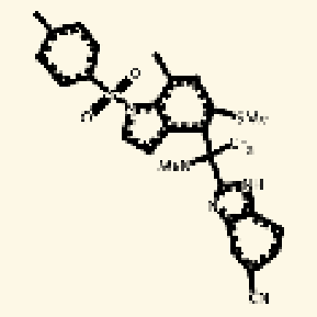 CNC(c1nc2cc(C#N)ccc2[nH]1)(c1c(SC)cc(C)c2c1ccn2S(=O)(=O)c1ccc(C)cc1)C(F)(F)F